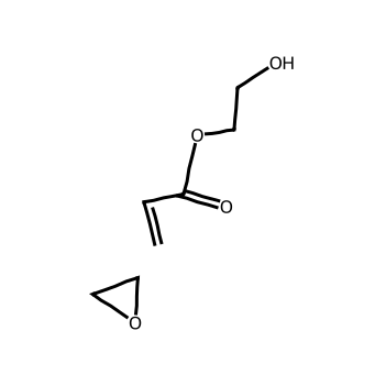 C1CO1.C=CC(=O)OCCO